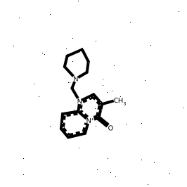 Cc1cn(CN2CCCCC2)c2cccc[n+]2c1=O